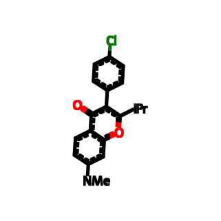 CNc1ccc2c(=O)c(-c3ccc(Cl)cc3)c(C(C)C)oc2c1